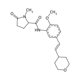 COc1ccc(/C=C/C2CCOCC2)cc1NC(=O)C1CCC(=O)N1C